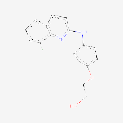 OCCOc1ccc(Nc2ccc3cccc(Cl)c3n2)cc1